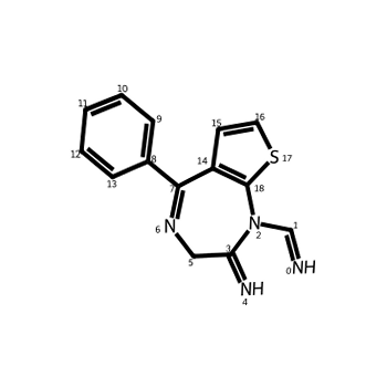 N=CN1C(=N)CN=C(c2ccccc2)c2ccsc21